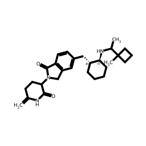 C=C1CCC(N2Cc3cc(C[C@H]4CCCC[C@@H]4NC(C)C4(C)CCC4)ccc3C2=O)C(=O)N1